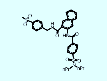 CCCN(CCC)S(=O)(=O)c1ccc(C(=O)Nc2cc3ccccc3cc2C(=O)NCc2ccc(S(C)(=O)=O)cc2)cc1